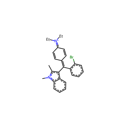 CC[N+](CC)=C1C=CC(=C(c2ccccc2Br)c2c(C)n(C)c3ccccc23)C=C1